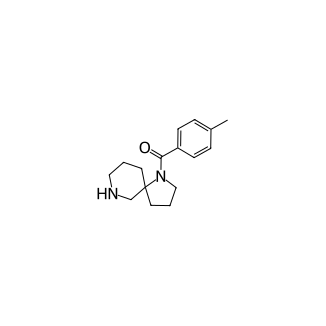 Cc1ccc(C(=O)N2CCCC23CCCNC3)cc1